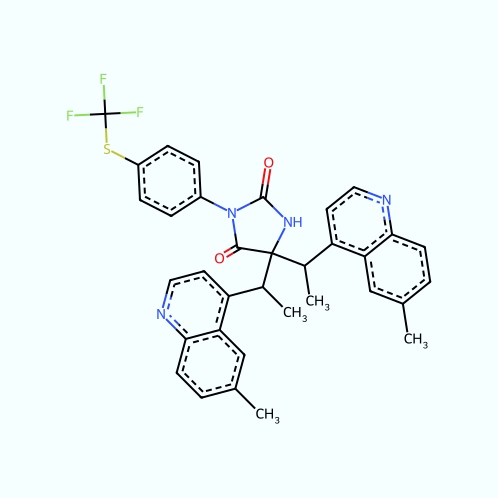 Cc1ccc2nccc(C(C)C3(C(C)c4ccnc5ccc(C)cc45)NC(=O)N(c4ccc(SC(F)(F)F)cc4)C3=O)c2c1